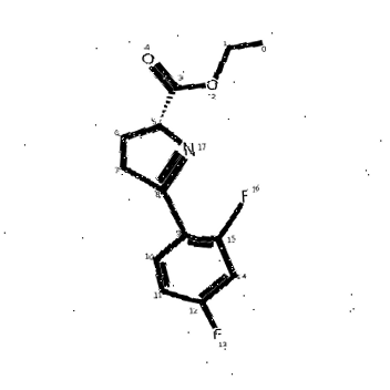 CCOC(=O)[C@H]1CCC(c2ccc(F)cc2F)=N1